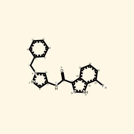 O=C(Nc1cnn(Cc2ccccc2)c1)c1n[nH]c2c(F)cccc12